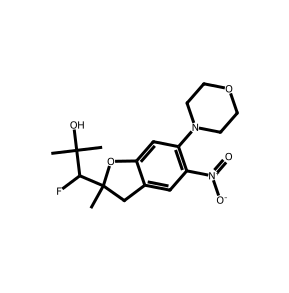 CC(C)(O)C(F)C1(C)Cc2cc([N+](=O)[O-])c(N3CCOCC3)cc2O1